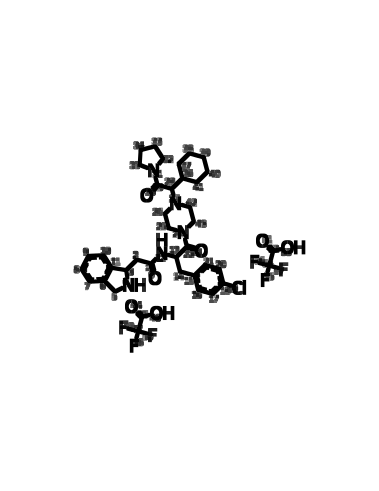 O=C(CC1NCc2ccccc21)NC(Cc1ccc(Cl)cc1)C(=O)N1CCN(C(C(=O)N2CCCC2)C2CCCCC2)CC1.O=C(O)C(F)(F)F.O=C(O)C(F)(F)F